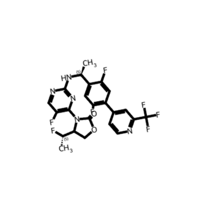 C[C@H](Nc1ncc(F)c(N2C(=O)OCC2[C@H](C)F)n1)c1cc(F)c(-c2ccnc(C(F)(F)F)c2)cc1F